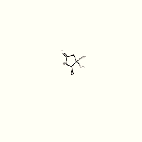 CC(C)C1(C)CC(=O)NC1=O